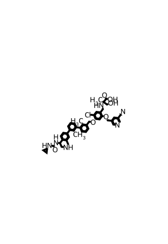 Cc1c(COc2cc(OCc3cncc(C#N)c3)c(CNC(C)(CO)C(=O)O)cc2Cl)cccc1-c1cccc(-c2ccc3c(c2)CNCC3NC(=O)NC2CC2)c1C